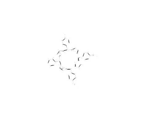 Nc1ccc(-c2c3nc(c(-c4ccc(N)cc4)c4ccc([nH]4)c(-c4ccc(N)cc4)c4nc(c(-c5ccccc5)c5ccc2[nH]5)C=C4)C=C3)cc1.[Zn]